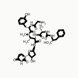 C[C@H](NC(=O)N[C@@H](Cc1ccccc1)C(=O)O)C(=O)N[C@H](C(=O)N/C=C1/C[C@@H](O)[C@H](n2ccc(=O)[nH]c2=O)O1)[C@H](C)N(C)C(=O)[C@H](Cc1cccc(O)c1)NC(=O)CN